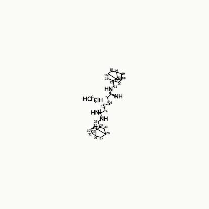 Cl.Cl.N=C(CSSCC(=N)NCC12CC3CC(CC(C3)C1)C2)NCC12CC3CC(CC(C3)C1)C2